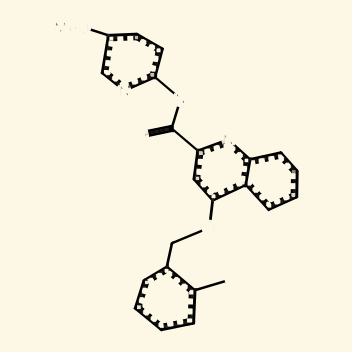 COc1ccc(NC(=O)c2cc(OCc3ccccc3C)c3ccccc3n2)nc1